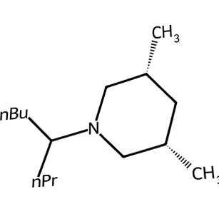 CCCCC(CCC)N1C[C@H](C)C[C@H](C)C1